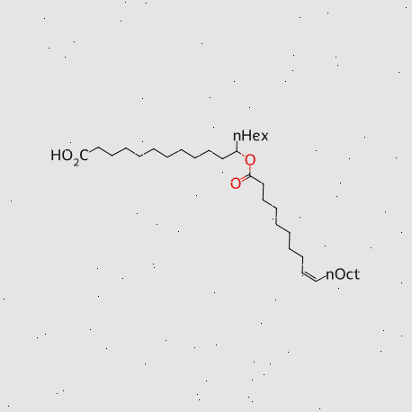 CCCCCCCC/C=C\CCCCCCCC(=O)OC(CCCCCC)CCCCCCCCCCC(=O)O